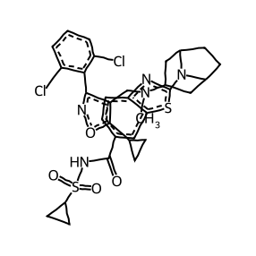 CN(Cc1c(-c2c(Cl)cccc2Cl)noc1C1CC1)C1CC2CCC(C1)N2c1nc2ccc(C(=O)NS(=O)(=O)C3CC3)cc2s1